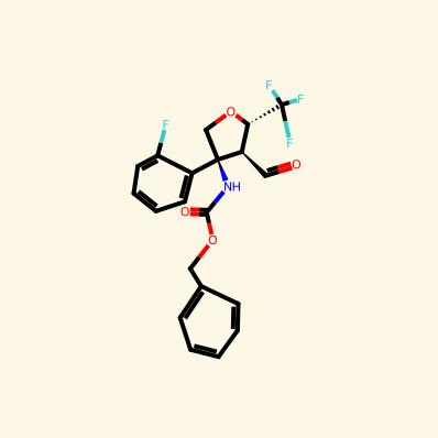 O=C[C@@H]1[C@@H](C(F)(F)F)OC[C@@]1(NC(=O)OCc1ccccc1)c1ccccc1F